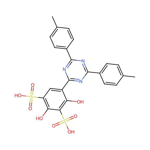 Cc1ccc(-c2nc(-c3ccc(C)cc3)nc(-c3cc(S(=O)(=O)O)c(O)c(S(=O)(=O)O)c3O)n2)cc1